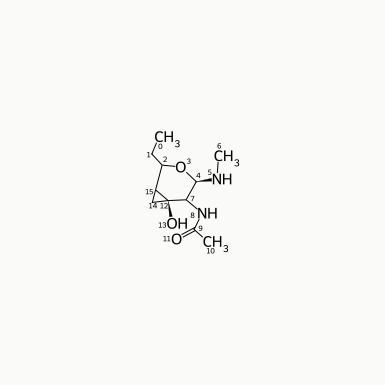 CCC1O[C@@H](NC)C(NC(C)=O)[C@]2(O)CC12